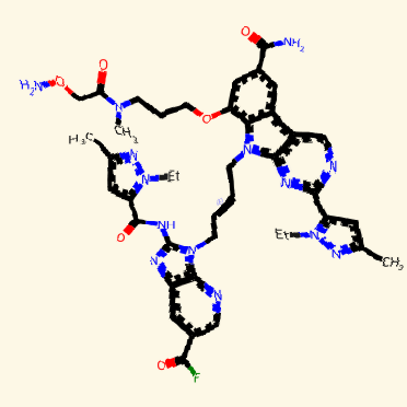 CCn1nc(C)cc1C(=O)Nc1nc2cc(C(=O)F)cnc2n1C/C=C/Cn1c2nc(-c3cc(C)nn3CC)ncc2c2cc(C(N)=O)cc(OCCCN(C)C(=O)CON)c21